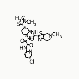 CN1CCc2nc(C(=O)N[C@@H]3C[C@@H](C(=S)N(C)C)CC[C@@H]3NC(=O)C(=O)Nc3ccc(Cl)cn3)sc2C1